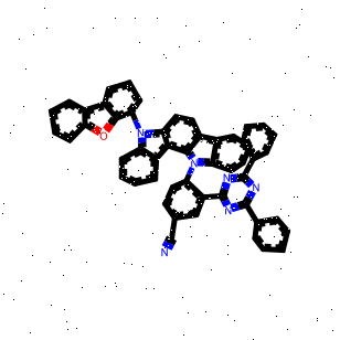 N#Cc1ccc(-n2c3ccccc3c3ccc4c(c5ccccc5n4-c4cccc5c4oc4ccccc45)c32)c(-c2nc(-c3ccccc3)nc(-c3ccccc3)n2)c1